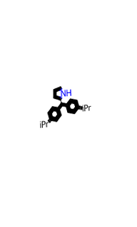 CC(C)c1ccc(C(c2ccc(C(C)C)cc2)[C@@H]2CCCN2)cc1